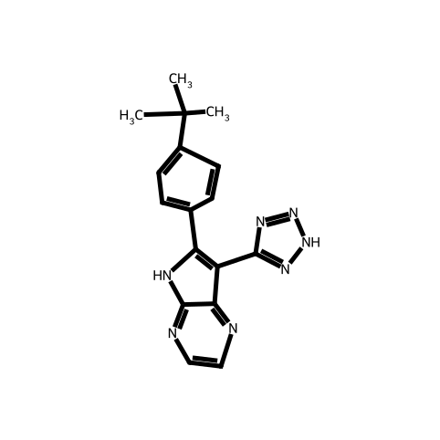 CC(C)(C)c1ccc(-c2[nH]c3nccnc3c2-c2nn[nH]n2)cc1